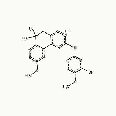 COc1ccc2c(c1)-c1nc(Nc3ccc(OC)c(O)c3)ncc1CC2(C)C.Cl